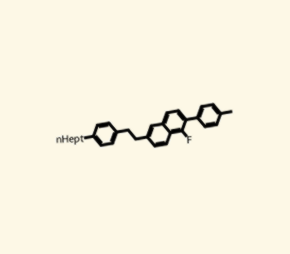 CCCCCCCc1ccc(CCc2ccc3c(F)c(-c4ccc(C)cc4)ccc3c2)cc1